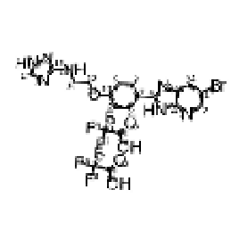 Brc1cnc2[nH]c(-c3ccc(OCCNc4nc[nH]n4)cc3)nc2c1.O=C(O)C(F)(F)F.O=C(O)C(F)(F)F